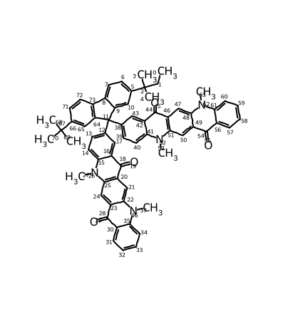 CCC(C)(C)c1ccc2c(c1)C(c1ccc3c(c1)c(=O)c1cc4c(cc1n3C)c(=O)c1ccccc1n4C)(c1ccc3c(c1)c(=O)c1cc4c(cc1n3C)c(=O)c1ccccc1n4C)c1cc(C(C)(C)C)ccc1-2